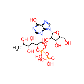 C[C@H](O)[C@@H](O)[C@@H](O)[C@@H](C=O)OP(=O)(O)OP(=O)(O)O.OC[C@H]1O[C@@H](n2cnc3c(O)ncnc32)[C@H](O)[C@@H]1O